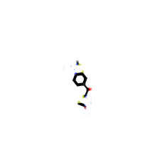 O=CC1Nc2ccc(C(=O)c3nc(Br)cs3)cc2S1